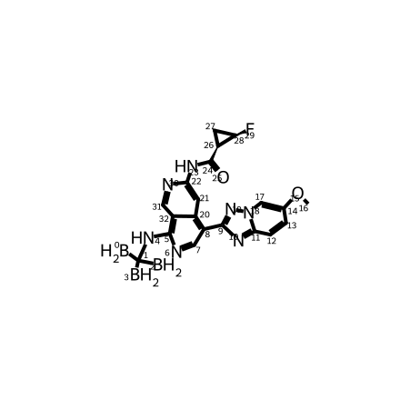 BC(B)(B)Nc1ncc(-c2nc3ccc(OC)cn3n2)c2cc(NC(=O)[C@H]3C[C@H]3F)ncc12